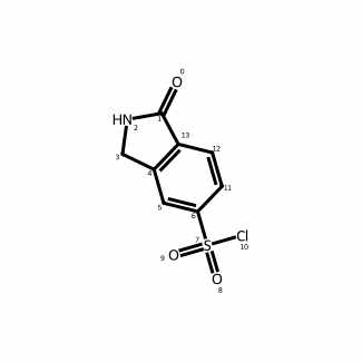 O=C1NCc2cc(S(=O)(=O)Cl)ccc21